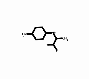 CC(NC1CCC(N)CC1)C(F)F